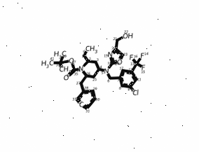 CCC1CC(N(Cc2cc(Cl)cc(C(F)(F)F)c2)c2nc(CO)co2)CC(Cc2ccccc2)N1C(=O)OC(C)(C)C